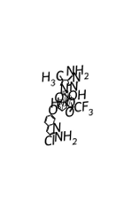 Cc1cn([C@@H]2O[C@@H]3[C@@H](Oc4ccc5cc(Cl)c(N)nc5c4)CC[C@]3(OC(=O)C(F)(F)F)[C@H]2O)c2ncnc(N)c12